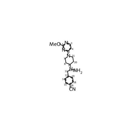 COc1nccc(N2CCC(N(N)Cc3ccc(C#N)cc3)CC2)n1